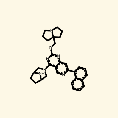 c1ccc2c(-c3cc4nc(OCC56CCCN5CCC6)nc(N5CC6CCC(C5)N6)c4cn3)cccc2c1